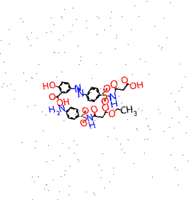 CCOC(=O)CC(=O)NS(=O)(=O)c1ccc(N)cc1.O=C(O)CC(=O)NS(=O)(=O)c1ccc(N=Nc2ccc(O)c(C(=O)O)c2)cc1